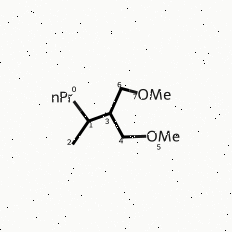 CCCC(C)[C](COC)COC